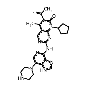 CC(=O)c1c(C)c2cnc(Nc3ncc(N4CCNCC4)c4[nH]cnc34)nc2n(C2CCCC2)c1=O